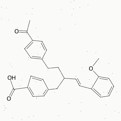 COc1ccccc1/C=C/C(CCc1ccc(C(C)=O)cc1)Cc1ccc(C(=O)O)cc1